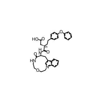 O=C(O)C[C@@H](CCc1ccc(Oc2ccccc2)cc1)C(=O)NC1Cc2cn(c3ccccc23)CCOCCNC1=O